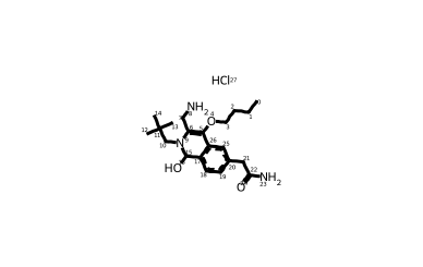 CCCCOC1=C(CN)N(CC(C)(C)C)C(O)c2ccc(CC(N)=O)cc21.Cl